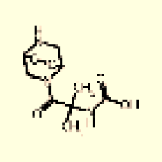 CC(C)(NC(=O)O)C(=O)N1CC2CCC1CN2